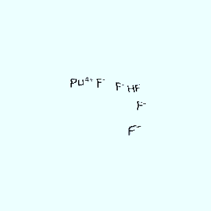 F.[F-].[F-].[F-].[F-].[Pu+4]